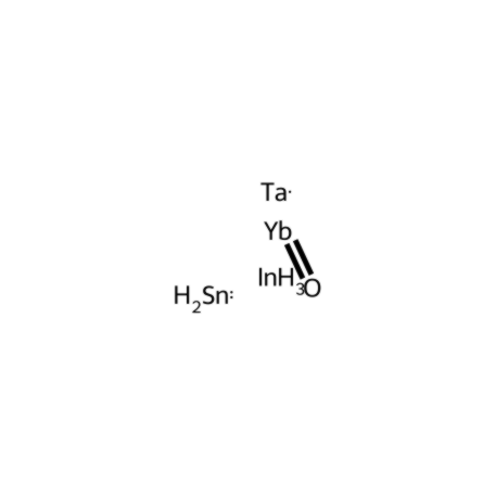 [InH3].[O]=[Yb].[SnH2].[Ta]